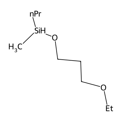 CCC[SiH](C)OCCCOCC